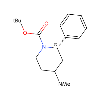 CNC1CCN(C(=O)OC(C)(C)C)[C@H](c2ccccc2)C1